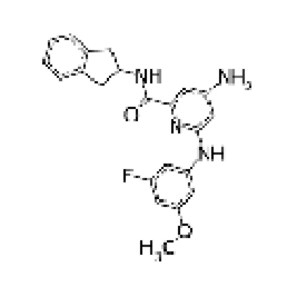 COc1cc(F)cc(Nc2cc(N)cc(C(=O)NC3Cc4ccccc4C3)n2)c1